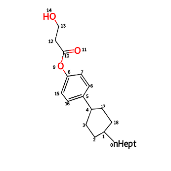 CCCCCCCC1CCC(c2ccc(OC(=O)CCO)cc2)CC1